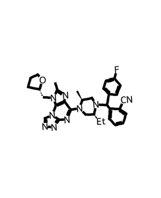 CC[C@@H]1CN(c2nc3nncn3c3c2nc(C)n3C[C@@H]2CCCO2)[C@@H](C)CN1C(c1ccc(F)cc1)c1ccccc1C#N